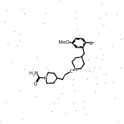 COc1ccc(Br)c(CC2CCN(CCCC3CCN(C(N)=O)CC3)CC2)c1